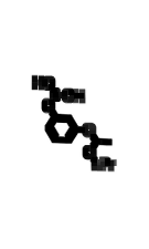 CCCOC(C)Oc1cccc(OB(O)O)c1